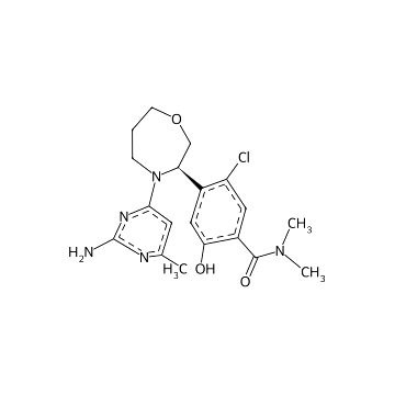 Cc1cc(N2CCCOC[C@H]2c2cc(O)c(C(=O)N(C)C)cc2Cl)nc(N)n1